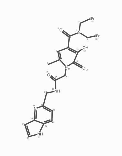 Cc1cc(C(=O)N(CC(C)C)CC(C)C)c(O)c(=O)n1CC(=O)NCc1ccc2[nH]ccc2n1